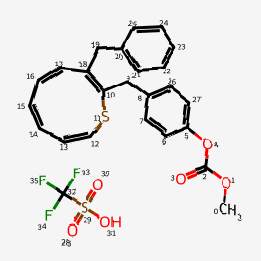 COC(=O)Oc1ccc(Cc2sccccccc2Cc2ccccc2)cc1.O=S(=O)(O)C(F)(F)F